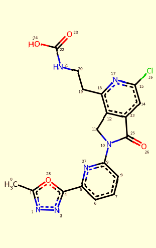 Cc1nnc(-c2cccc(N3Cc4c(cc(Cl)nc4CCNC(=O)O)C3=O)n2)o1